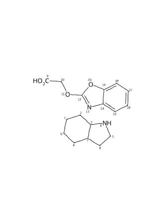 C1CCC2NCCC2C1.O=C(O)COc1nc2ccccc2o1